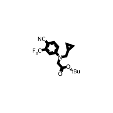 CC(C)(C)OC(=O)CN(CC1CC1)c1ccc(C#N)c(C(F)(F)F)c1